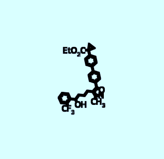 CCOC(=O)C1(c2ccc(-c3ccc(-c4onc(C)c4CCCC(O)c4ccccc4C(F)(F)F)cc3)cc2)CC1